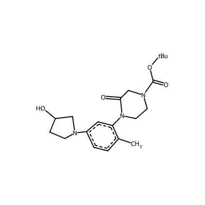 Cc1ccc(N2CCC(O)C2)cc1N1CCN(C(=O)OC(C)(C)C)CC1=O